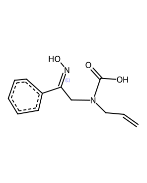 C=CCN(C/C(=N/O)c1ccccc1)C(=O)O